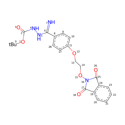 CC(C)(C)OC(=O)NNC(=N)c1ccc(OCCON2C(=O)c3ccccc3C2=O)cc1